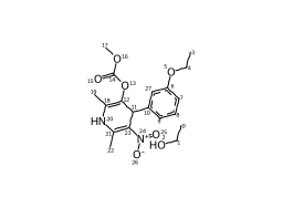 CCO.CCOc1cccc(C2C(OC(=O)OC)=C(C)NC(C)=C2[N+](=O)[O-])c1